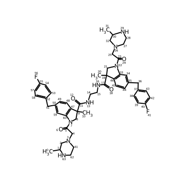 CC1CN(CC(=O)N2CC(C)(C(=O)NCCNC(=O)C3(C)CN(C(=O)CN4CCNC(C)C4)c4cc(Cc5ccc(F)cc5)ccc43)c3ccc(Cc4ccc(F)cc4)cc32)CCN1